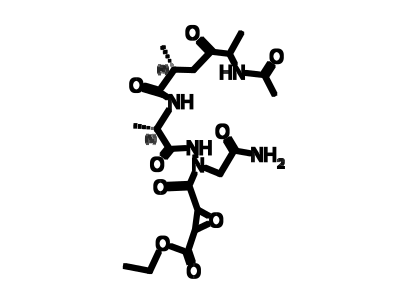 CCOC(=O)C1OC1C(=O)N(CC(N)=O)NC(=O)[C@H](C)NC(=O)[C@H](C)CC(=O)C(C)NC(C)=O